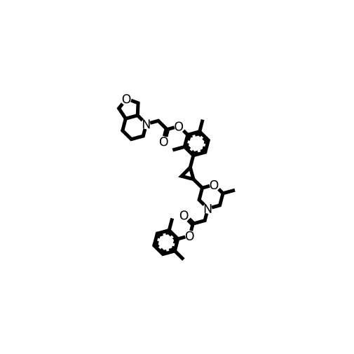 Cc1cccc(C)c1OC(=O)CN1CC(C)OC(C2CC2c2ccc(C)c(OC(=O)CN3CCCC4COCC43)c2C)C1